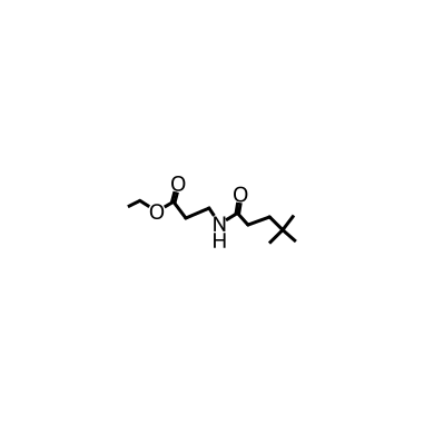 CCOC(=O)CCNC(=O)CCC(C)(C)C